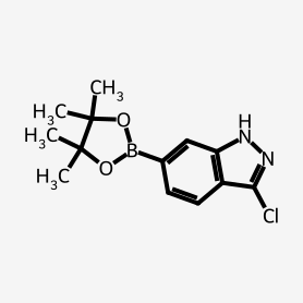 CC1(C)OB(c2ccc3c(Cl)n[nH]c3c2)OC1(C)C